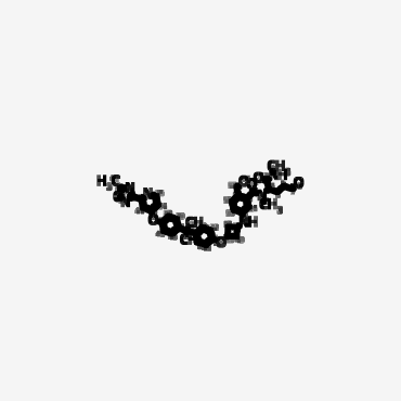 CNC(=O)C(CCC=O)N(C)C(=O)c1cc(NC2CC(Oc3ccc(C(C)(C)c4ccc(Oc5ccnc(-c6noc(C)n6)c5)cc4)cc3)C2)ccc1C=O